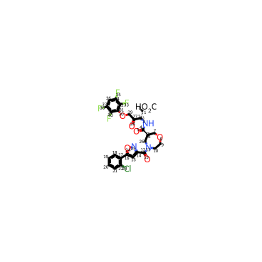 O=C(O)C[C@H](NC(=O)[C@H]1COCCN(C(=O)c2cc(-c3ccccc3Cl)on2)C1)C(=O)COc1c(F)c(F)cc(F)c1F